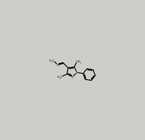 C/N=C/c1c(C)nn(-c2ccccc2)c1C